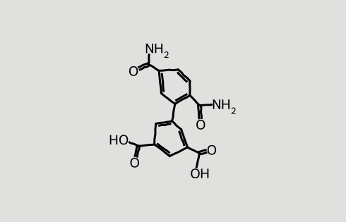 NC(=O)c1ccc(C(N)=O)c(-c2cc(C(=O)O)cc(C(=O)O)c2)c1